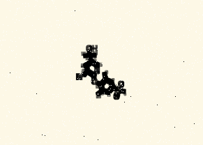 Cc1cc(S(C)(=O)=O)cc(C)c1Oc1ncc(C(C)(C)O)cc1Br